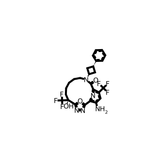 Nc1cc(C(F)(F)F)c2nc1-c1nnc(o1)[C@@](O)(C(F)(F)F)CCCCCN([C@H]1C[C@@H](c3ccccc3)C1)C2=O